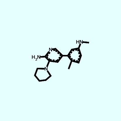 CNc1ccc(C)c(-c2cnc(N)c(N3CCCCC3)c2)c1